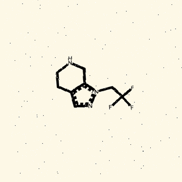 FC(F)(F)Cn1ncc2c1CNCC2